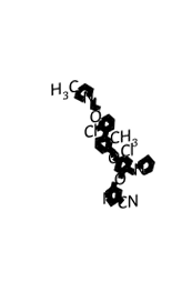 Cc1c(COc2cc(OCc3cncc(C#N)c3)c(CN3CCCCC3)cc2Cl)cccc1-c1cccc(OCCCN2CCC(C)CC2)c1Cl